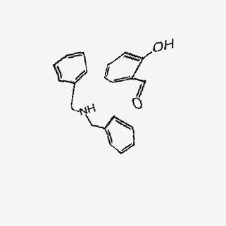 O=Cc1ccccc1O.c1ccc(CNCc2ccccc2)cc1